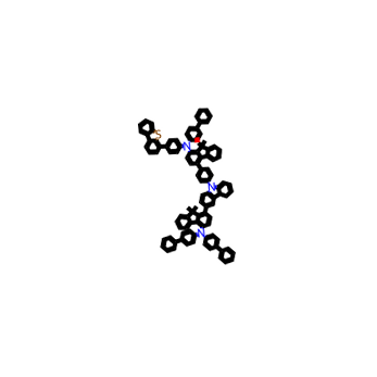 CC1(C)c2ccccc2-c2c(N(c3ccc(-c4ccccc4)cc3)c3ccc(-c4ccccc4)cc3)ccc(-c3ccc4c(c3)C3CC=CC=C3N4c3ccc(-c4ccc(N(c5ccc(-c6ccccc6)cc5)c5ccc(-c6cccc7c6sc6ccccc67)cc5)c5c4-c4ccccc4C5(C)C)cc3)c21